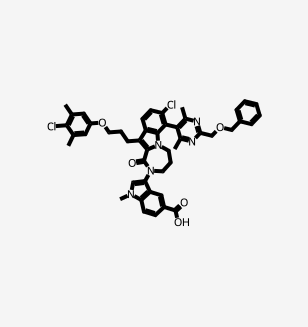 Cc1cc(OCCCc2c3n(c4c(-c5c(C)nc(COCc6ccccc6)nc5C)c(Cl)ccc24)CCCN(c2cn(C)c4ccc(C(=O)O)cc24)C3=O)cc(C)c1Cl